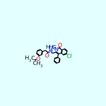 CC(C)Oc1cccc(CC(=O)NCc2c(-c3ccccc3)c3cc(Cl)ccc3c(=O)n2C)c1